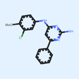 COc1ccc(Nc2cc(-c3ccccc3)nc([NH])n2)cc1Cl